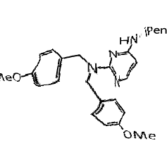 CCC[C@@H](C)Nc1ccnc(N(Cc2ccc(OC)cc2)Cc2ccc(OC)cc2)n1